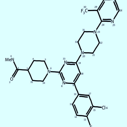 CNC(=O)C1CCN(c2nc(-c3ccc(F)c(Cl)c3)cc(N3CCN(c4ncccc4C(F)(F)F)CC3)n2)CC1